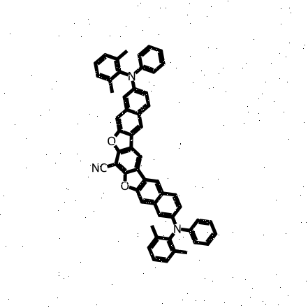 Cc1cccc(C)c1N(c1ccccc1)c1ccc2cc3c(cc2c1)oc1c(C#N)c2oc4cc5cc(N(c6ccccc6)c6c(C)cccc6C)ccc5cc4c2cc13